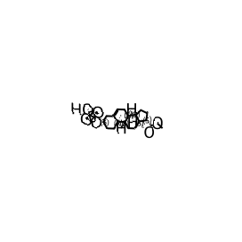 COC(=O)[C@H]1CC[C@H]2[C@@H]3CC=C4C[C@@H](OS(=O)(=O)O)CC[C@]4(C)[C@H]3CC[C@]12C